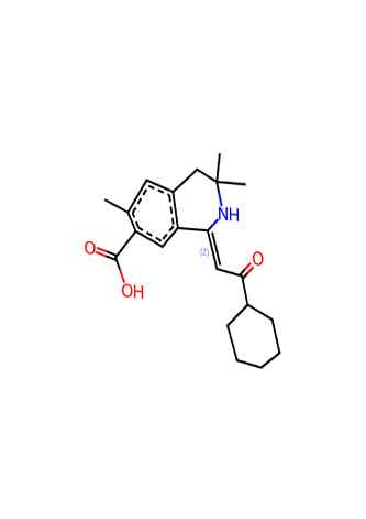 Cc1cc2c(cc1C(=O)O)/C(=C/C(=O)C1CCCCC1)NC(C)(C)C2